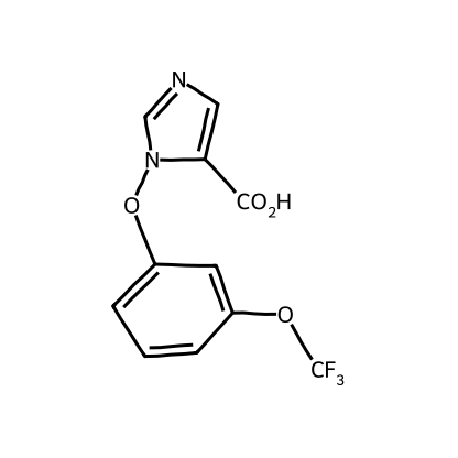 O=C(O)c1cncn1Oc1cccc(OC(F)(F)F)c1